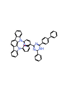 c1ccc(-c2ccc(C3=NC(c4ccc(-n5c6ccccc6c6ccc7c8ccccc8n(-c8ccccc8)c7c65)nc4)=NC(c4ccccc4)N3)cc2)cc1